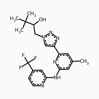 Cc1cc(Nc2cc(C(F)(F)F)ccn2)nc(-c2cn(CC(O)C(C)(C)C)nn2)c1